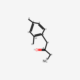 Cc1ccc(CC(=O)CC#N)c(C)c1